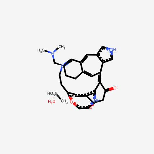 CN(C)C[C@@H]1CCC2=C/C3=C4/C(=O)CC(=O)c5cc(occ[nH]c54)CC/N=C/1C2=Cc1c[nH]cc13.CS(=O)(=O)O.O